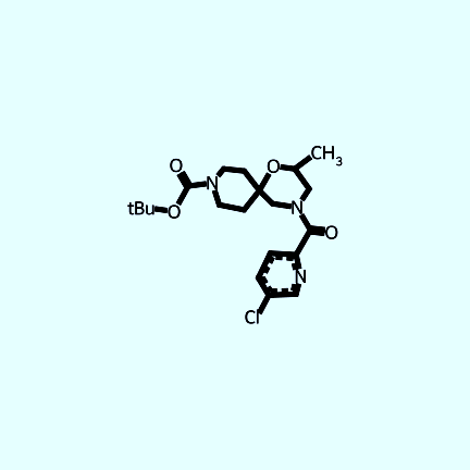 CC1CN(C(=O)c2ccc(Cl)cn2)CC2(CCN(C(=O)OC(C)(C)C)CC2)O1